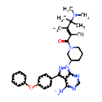 C/C(=C(/C#N)C(=O)N1CCC[C@@H](n2nc(-c3ccc(Oc4ccccc4)cc3)c3c(N)ncnc32)C1)C(C)(C)N(C)C